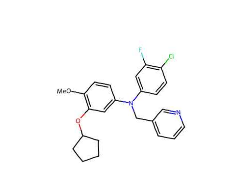 COc1ccc(N(Cc2cccnc2)c2ccc(Cl)c(F)c2)cc1OC1CCCC1